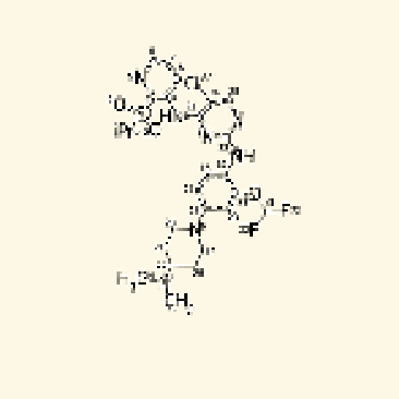 CC(C)S(=O)(=O)c1ncccc1Nc1nc(Nc2ccc(N3CCC(N(C)C)CC3)cc2OC(F)F)ncc1Cl